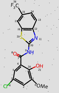 COc1cc(Cl)cc(C(=O)Nc2nc3ccc(C(F)(F)F)cc3s2)c1O